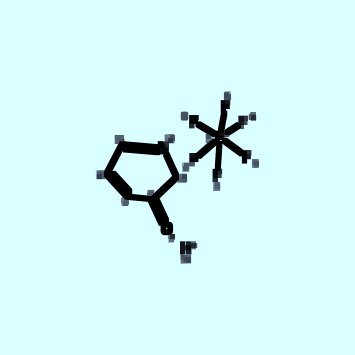 F[P-](F)(F)(F)(F)F.O=C1C=CC=NC1.[H+]